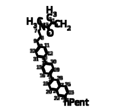 C=C(C)C(=O)N(C)CCCc1ccc(-c2ccc(-c3ccc4cc(CCCCC)ccc4c3)cc2)cc1